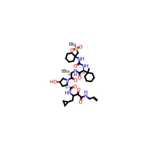 C=CCNC(=O)C(=O)C(CC1CC1)NC(=O)[C@@H]1CC(O)CN1C(=O)[C@@H](NC(=O)[C@@H](NC(=O)NC1(CS(=O)(=O)C(C)(C)C)CCCCC1)C1(C)CCCCC1)C(C)(C)C